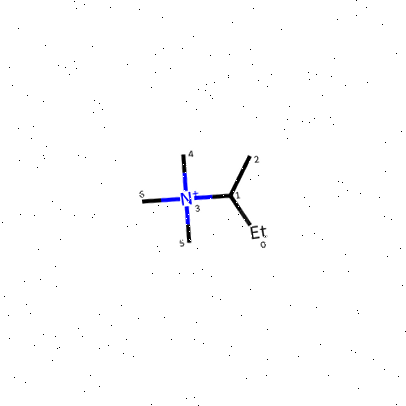 CCC(C)[N+](C)(C)C